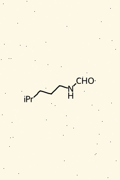 CC(C)CCCN[C]=O